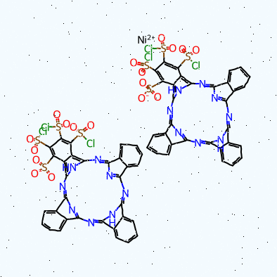 O=S(=O)([O-])c1c(S(=O)(=O)Cl)c(S(=O)(=O)Cl)c(S(=O)(=O)Cl)c2c3nc4nc(nc5[nH]c(nc6nc(nc([nH]3)c12)-c1ccccc1-6)c1ccccc51)-c1ccccc1-4.O=S(=O)([O-])c1c(S(=O)(=O)Cl)c(S(=O)(=O)Cl)c(S(=O)(=O)Cl)c2c3nc4nc(nc5[nH]c(nc6nc(nc([nH]3)c12)-c1ccccc1-6)c1ccccc51)-c1ccccc1-4.[Ni+2]